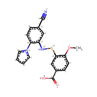 COc1ccc(C(=O)O)cc1SNc1cc(C#N)ccc1-n1cccc1